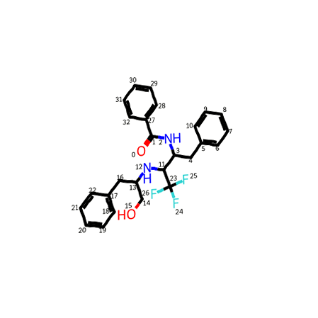 O=C(NC(Cc1ccccc1)C(NC(CO)Cc1ccccc1)C(F)(F)F)c1ccccc1